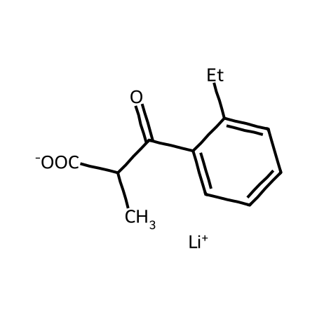 CCc1ccccc1C(=O)C(C)C(=O)[O-].[Li+]